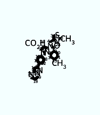 Cc1nc(CN(c2nn(-c3ccc(-c4cc5ncccn5n4)cc3)cc2C(=O)O)C(=O)[C@H]2CC[C@H](C)CC2)cs1